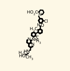 Cc1c(Nc2nccc3cc(CNCC(C)(C)O)cnc23)cccc1-c1cccc(-c2nc3cc(CN4CCCC[C@H]4C(=O)O)cc(Cl)c3o2)c1C